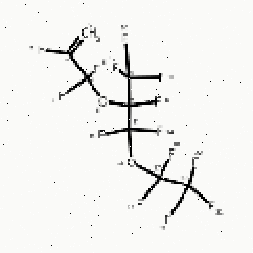 C=C(F)C(F)(F)OC(F)(C(F)(F)F)C(F)(F)OC(F)(F)C(F)(F)F